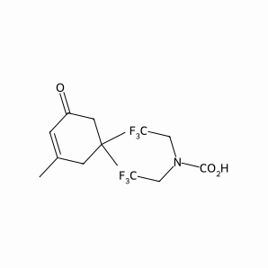 CC1=CC(=O)CC(C)(C)C1.O=C(O)N(CC(F)(F)F)CC(F)(F)F